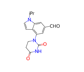 CC(C)n1ccc2c(N3CCC(=O)NC3=O)cc(C=O)cc21